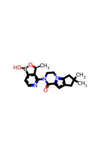 C[C@@H]1OB(O)c2ccnc(N3CCn4c(cc5c4CC(C)(C)C5)C3=O)c21